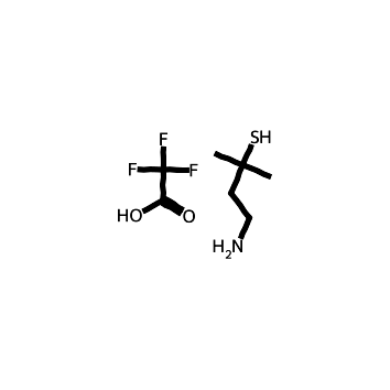 CC(C)(S)CCN.O=C(O)C(F)(F)F